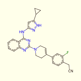 N#CCc1ccc(C2=CCN(c3nc(Nc4cc(C5CC5)[nH]n4)c4ccccc4n3)CC2)cc1F